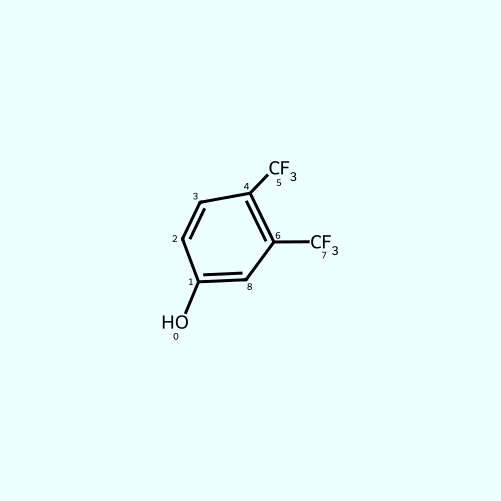 Oc1ccc(C(F)(F)F)c(C(F)(F)F)c1